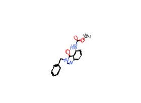 CC(C)(C)OC(=O)Nc1cccc2ncn(Cc3ccccc3)c(=O)c12